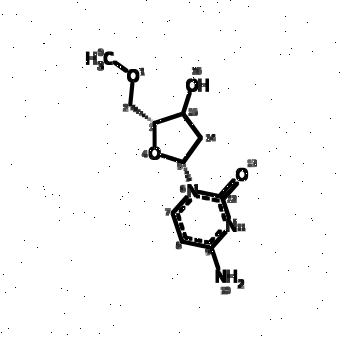 COC[C@H]1O[C@@H](n2ccc(N)nc2=O)CC1O